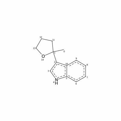 CC1(c2c[nH]c3ccccc23)CCCO1